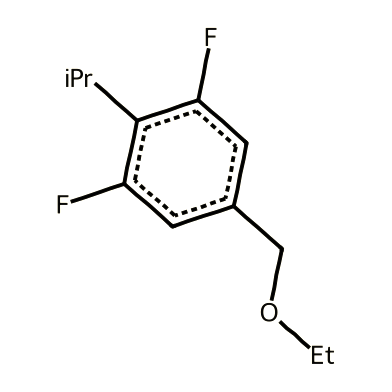 CCOCc1cc(F)c(C(C)C)c(F)c1